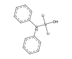 [Li][Si]([Li])(O)[SiH](c1ccccc1)c1ccccc1